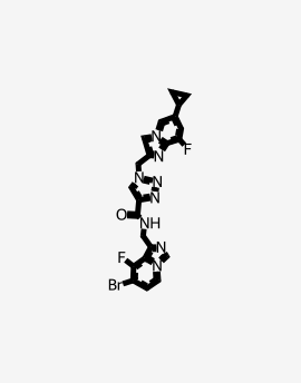 O=C(NCc1ncn2ccc(Br)c(F)c12)c1cn(Cc2cn3cc(C4CC4)cc(F)c3n2)nn1